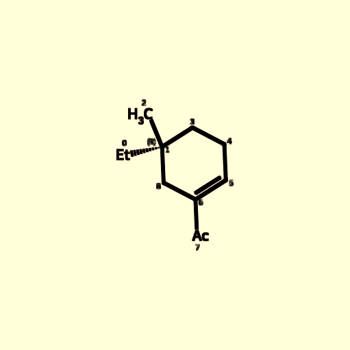 CC[C@]1(C)CCC=C(C(C)=O)C1